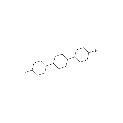 CC1CCC(C2CCC(C3CCC(Br)CC3)CC2)CC1